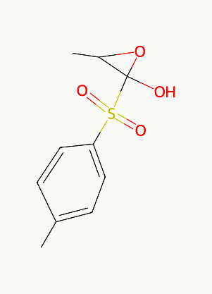 Cc1ccc(S(=O)(=O)C2(O)OC2C)cc1